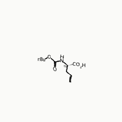 C=CC[C@H](NC(=O)OCCCC)C(=O)O